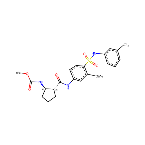 COc1cc(NC(=O)[C@@H]2CCC[C@H]2NC(=O)OC(C)(C)C)ccc1S(=O)(=O)Nc1cccc(C(F)(F)F)c1